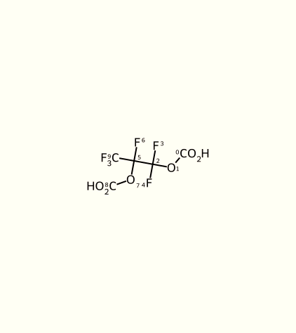 O=C(O)OC(F)(F)C(F)(OC(=O)O)C(F)(F)F